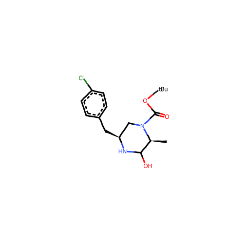 C[C@H]1C(O)N[C@@H](Cc2ccc(Cl)cc2)CN1C(=O)OC(C)(C)C